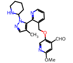 COc1cc(C=O)c(OCc2cccnc2-c2c(C)cnn2C2CCCCN2)cn1